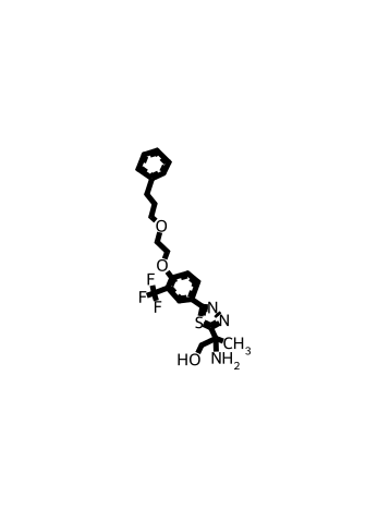 CC(N)(CO)c1nnc(-c2ccc(OCCOCCCc3ccccc3)c(C(F)(F)F)c2)s1